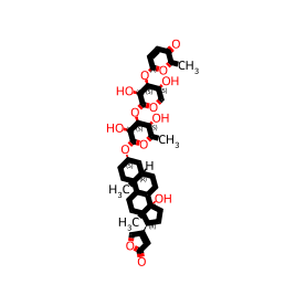 CC1O[C@@H](O[C@@H]2[C@H](O)C(O[C@@H]3[C@H](O)C(O[C@H]4CCC5(C)C6CCC7(C)[C@@H](C8=CC(=O)OC8)CC[C@]7(O)C6CC[C@@H]5C4)OC(C)[C@@H]3O)OC[C@@H]2O)C=CC1=O